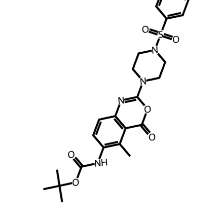 Cc1c(NC(=O)OC(C)(C)C)ccc2nc(N3CCN(S(=O)(=O)c4ccccc4)CC3)oc(=O)c12